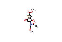 COCCN(C(C)=O)C1=CC(=O)c2sc(C(=O)OC)cc2C1=O